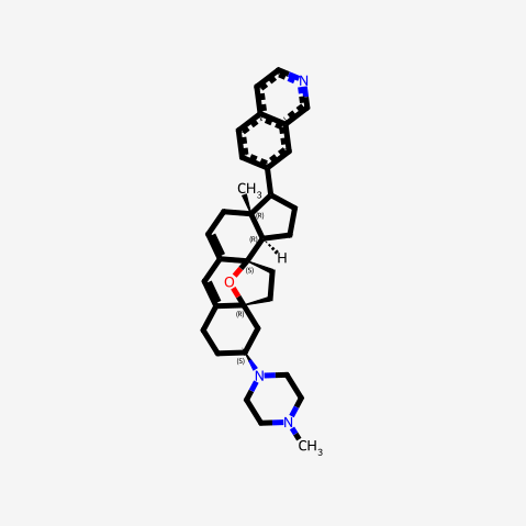 CN1CCN([C@H]2CCC3=CC4=CC[C@]5(C)C(c6ccc7ccncc7c6)CC[C@H]5[C@@]45CC[C@]3(C2)O5)CC1